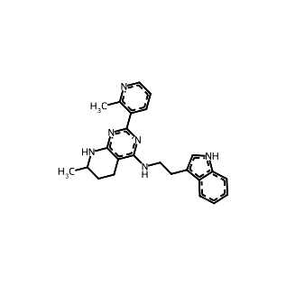 Cc1ncccc1-c1nc(NCCc2c[nH]c3ccccc23)c2c(n1)NC(C)CC2